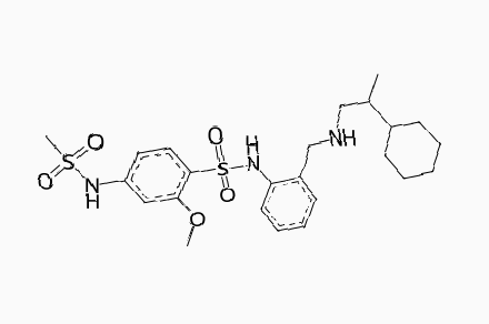 COc1cc(NS(C)(=O)=O)ccc1S(=O)(=O)Nc1ccccc1CNCC(C)C1CCCCC1